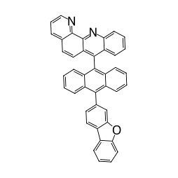 c1cnc2c(c1)ccc1c(-c3c4ccccc4c(-c4ccc5c(c4)oc4ccccc45)c4ccccc34)c3ccccc3nc12